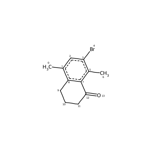 Cc1cc(Br)c(C)c2c1CCCC2=O